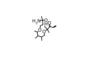 C=CC(=O)C(C)(C)OCC(C)C(C)C(C)OCCC(C)(N)O